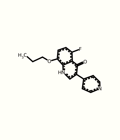 CCCOc1ccc(F)c2c(=O)c(-c3ccncc3)c[nH]c12